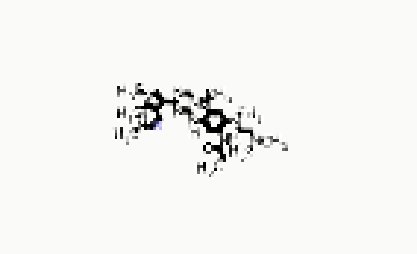 C=CC(=O)Nc1cc(NC2=NC(c3cn(C)c(C)c3/C=C\NC)=NCN2)c(OC)cc1N(C)CCN(C)C